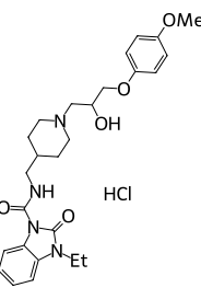 CCn1c(=O)n(C(=O)NCC2CCN(CC(O)COc3ccc(OC)cc3)CC2)c2ccccc21.Cl